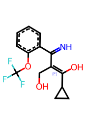 N=C(/C(CO)=C(\O)C1CC1)c1ccccc1OC(F)(F)F